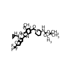 COc1cc(C(=O)N2CCC[C@@H](NC(=O)OC(C)(C)C)C2)cc2nc(-c3cc4cc(C(F)(F)F)oc4n3CC3CC3)n(C)c12